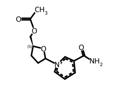 CC(=O)OC[C@@H]1CCC([n+]2cccc(C(N)=O)c2)O1